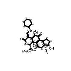 COC[C@H]1OC(=O)/C(=C/N(C)C2CCCCC2)C2=C(O)C(=O)C3=C([C@H](OC(C)=O)C[C@@]4(C)C3CC[C@@H]4O)[C@]21C